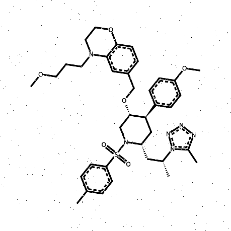 COCCCN1CCOc2ccc(CO[C@H]3CN(S(=O)(=O)c4ccc(C)cc4)[C@@H](C[C@@H](C)n4nnnc4C)C[C@@H]3c3ccc(OC)cc3)cc21